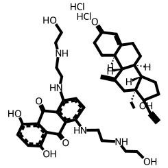 C#C[C@]1(O)CC[C@H]2[C@@H]3CCC4=CC(=O)CC[C@@H]4[C@H]3C(=C)C[C@@]21CC.Cl.Cl.O=C1c2c(O)ccc(O)c2C(=O)c2c(NCCNCCO)ccc(NCCNCCO)c21